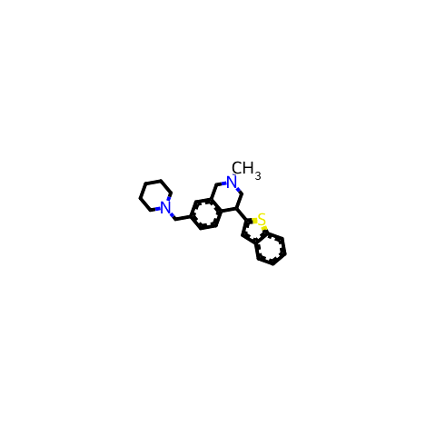 CN1Cc2cc(CN3CCCCC3)ccc2C(c2cc3ccccc3s2)C1